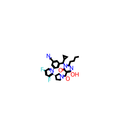 CCCCc1nc(O)c(C(=O)N2CC[C@H](c3ncc(F)cc3F)C2)c(=O)n1C(c1cccc(C#N)c1)C1CC1